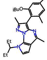 CCC(CC)n1ccc2c(C)nc3c(-c4c(C)cc(C)cc4OC[C](C)C)c(C)nn3c21